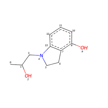 CC(O)CN1CCc2c(O)cccc21